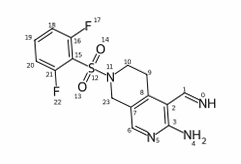 N=Cc1c(N)ncc2c1CCN(S(=O)(=O)c1c(F)cccc1F)C2